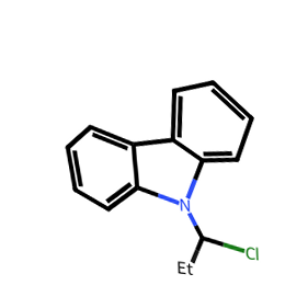 CCC(Cl)n1c2ccccc2c2ccccc21